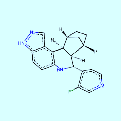 Fc1cnccc1[C@@H]1Nc2ccc3[nH]ncc3c2[C@H]2[C@@H]3CC[C@@H](C3)[C@H]21